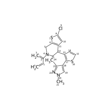 C=CC(=C)N1Cc2sc(Cl)cc2C(c2ccsc2-c2cn(C)nc2C)C1